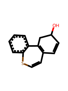 OC1C=CC2=C(C1)c1ccccc1SC=C2